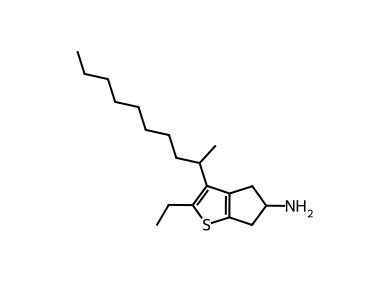 CCCCCCCCC(C)c1c(CC)sc2c1CC(N)C2